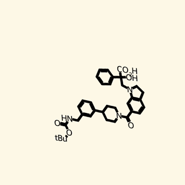 CC(C)(C)OC(=O)NCc1cccc(C2CCN(C(=O)c3ccc4c(c3)N(CC(O)(C(=O)O)c3ccccc3)CC4)CC2)c1